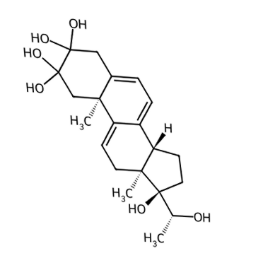 C[C@@H](O)[C@@]1(O)CC[C@H]2C3=CC=C4CC(O)(O)C(O)(O)C[C@]4(C)C3=CC[C@@]21C